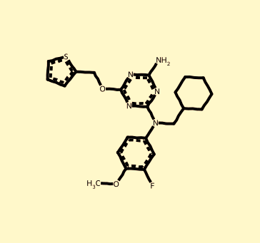 COc1ccc(N(CC2CCCCC2)c2nc(N)nc(OCc3cccs3)n2)cc1F